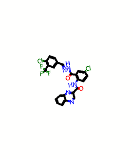 O=C(Nc1ccc(Cl)cc1C(=O)N/N=C/c1ccc(Cl)c(C(F)(F)F)c1)c1cnc2ccccc2n1